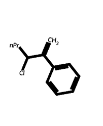 C=C(c1ccccc1)C(Cl)CCC